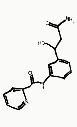 NC(=O)CC(O)c1cccc(NC(=O)c2ccccn2)c1